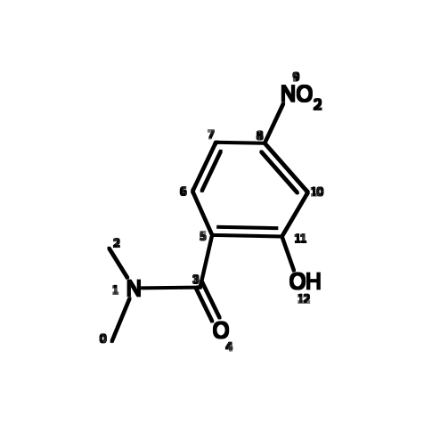 CN(C)C(=O)c1ccc([N+](=O)[O-])cc1O